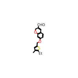 CCc1sc(COc2ccc3c(c2)OCC(C=O)=C3)cc1C